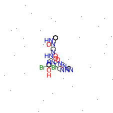 O=C(NC(CC1CCNCC1)C(=O)N1CCN(c2ccncc2)CC1)C(Cc1cc(Br)c(O)c(Br)c1)NC(=O)N1CCC(N2Cc3ccccc3NC2=O)CC1